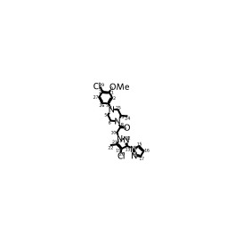 COc1cc(N2CCN(C(=O)Cn3nc(-n4cccn4)c(Cl)c3C)C(C)C2)ccc1Cl